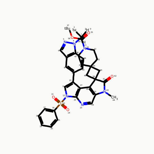 [2H]C([2H])([2H])n1ncc2cc(-c3cn(S(=O)(=O)c4ccccc4)c4ncc5c(c34)C3(CC4(CCN(C(=O)OC(C)(C)C)CC4)C3)C(=O)N5C)ccc21